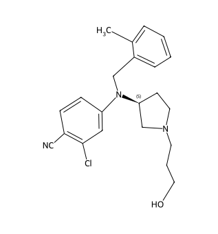 Cc1ccccc1CN(c1ccc(C#N)c(Cl)c1)[C@H]1CCN(CCCO)C1